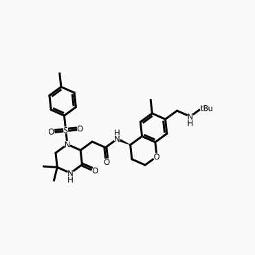 Cc1ccc(S(=O)(=O)N2CC(C)(C)NC(=O)C2CC(=O)N[C@@H]2CCOc3cc(CNC(C)(C)C)c(C)cc32)cc1